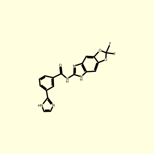 O=C(Nc1nc2cc3c(cc2[nH]1)OC(F)(F)O3)c1cccc(-c2ncc[nH]2)c1